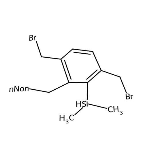 CCCCCCCCCCc1c(CBr)ccc(CBr)c1[SiH](C)C